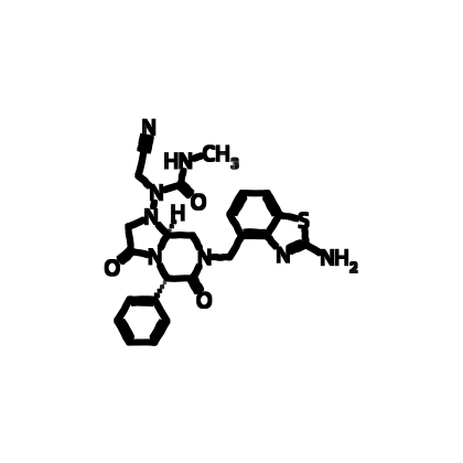 CNC(=O)N(CC#N)N1CC(=O)N2[C@@H](c3ccccc3)C(=O)N(Cc3cccc4sc(N)nc34)C[C@@H]21